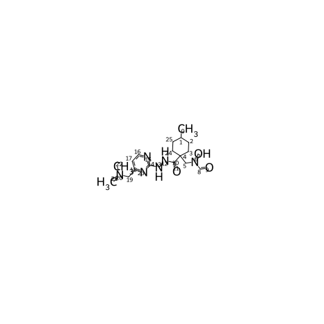 CC1CCC(CN(O)C=O)(C(=O)NNc2nccc(CN(C)C)n2)CC1